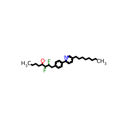 CCCCCCCCc1ccc(-c2ccc(CC(F)C(F)C([O])CCCC)cc2)nc1